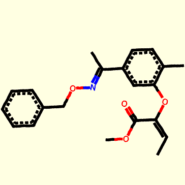 CC=C(Oc1cc(C(C)=NOCc2ccccc2)ccc1C)C(=O)OC